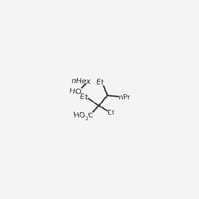 CCCC(CC)C(CC)(CC)C(=O)O.CCCCCCO